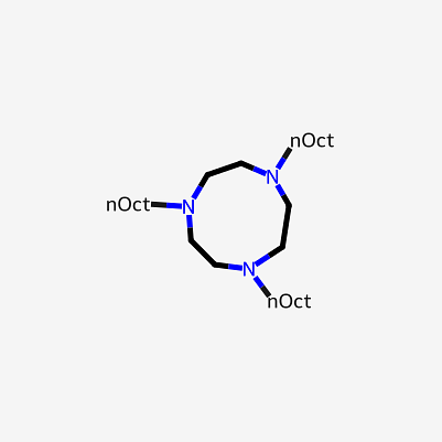 CCCCCCCCN1CCN(CCCCCCCC)CCN(CCCCCCCC)CC1